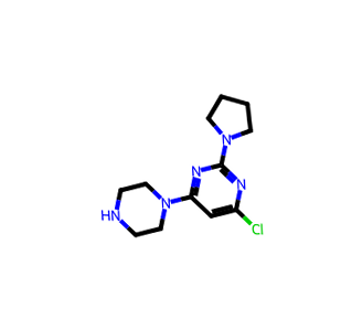 Clc1cc(N2CCNCC2)nc(N2CCCC2)n1